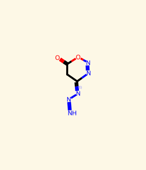 N=N/N=C1\CC(=O)ON=N1